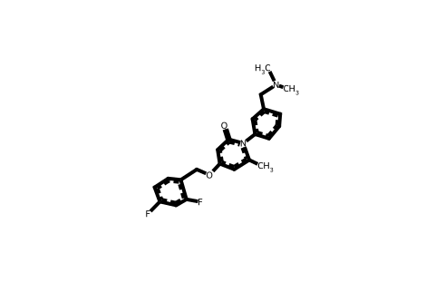 Cc1cc(OCc2ccc(F)cc2F)cc(=O)n1-c1cccc(CN(C)C)c1